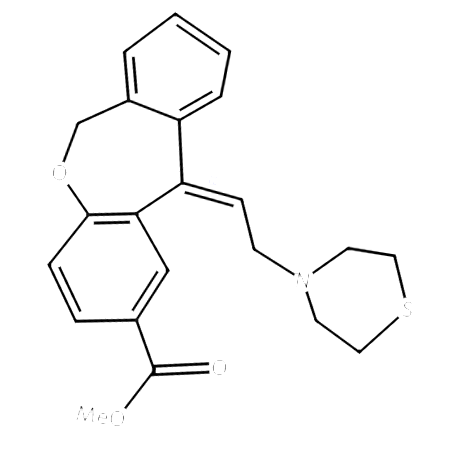 COC(=O)c1ccc2c(c1)/C(=C\CN1CCSCC1)c1ccccc1CO2